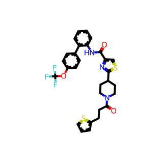 O=C(Nc1ccccc1-c1ccc(OC(F)(F)F)cc1)c1csc(C2CCN(C(=O)CCc3cccs3)CC2)n1